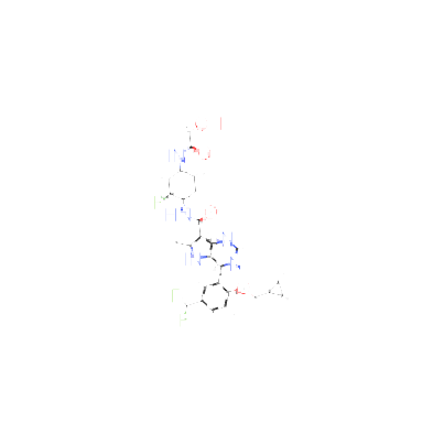 Cc1[nH]c2c(-c3cc(C(F)F)ccc3OCC3CC3)ncnc2c1C(=O)NC1CCC(NC(=O)CO)CC1F